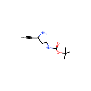 CC#CC(N)CCNC(=O)OC(C)(C)C